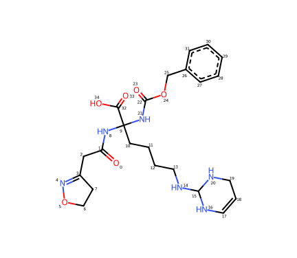 O=C(CC1=NOCC1)NC(CCCCNC1NC=CCN1)(NC(=O)OCc1ccccc1)C(=O)O